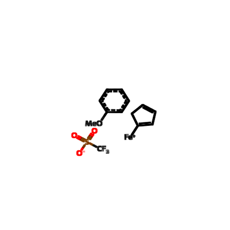 COc1ccccc1.O=S(=O)([O-])C(F)(F)F.[Fe+][C]1=CC=CC1